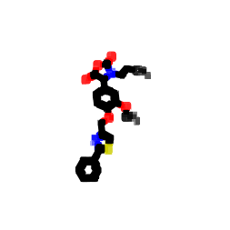 CCCN1C(=O)OC(=O)C1c1ccc(OCc2csc(-c3ccccc3)n2)c(OC)c1